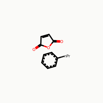 CCCc1ccccc1.O=C1C=CC(=O)O1